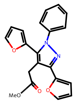 COC(=O)Cc1c(-c2ccco2)nn(-c2ccccc2)c1-c1ccco1